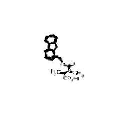 C[C@@H](C(=O)O)N(C)C(=O)OCc1cccc2c1Cc1ccccc1-2